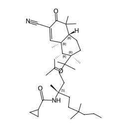 CCCC(C)(C)CC[C@@](C)(CCC(C)(C)[C@]1(C)CC[C@H]2C(C)(C)C(=O)C(C#N)=C[C@]2(C)[C@H]1CC(C)=O)NC(=O)C1CC1